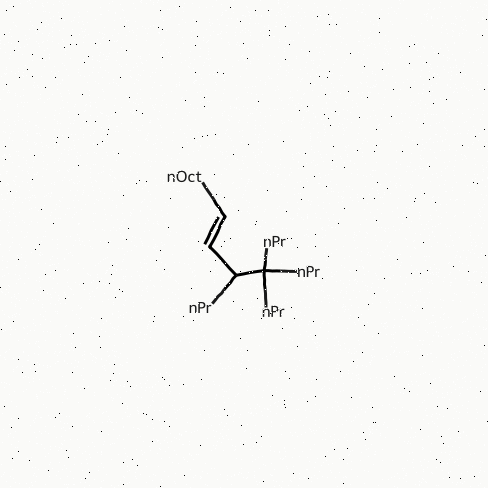 CCCCCCCCC=CC(CCC)C(CCC)(CCC)CCC